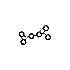 C1=CCC2C(=C1)Sc1cc(-c3ccc(-n4c5ccccc5c5ccccc54)cc3)ccc1N2c1ccccc1